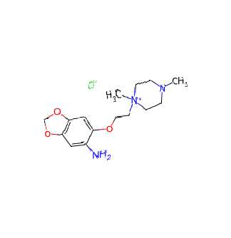 CN1CC[N+](C)(CCOc2cc3c(cc2N)OCO3)CC1.[Cl-]